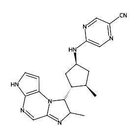 CC1N=C2C=Nc3[nH]ccc3N2C1[C@@H]1C[C@@H](Nc2cnc(C#N)cn2)C[C@H]1C